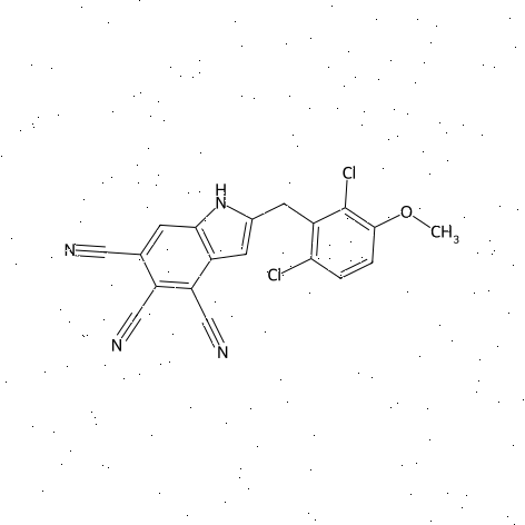 COc1ccc(Cl)c(Cc2cc3c(C#N)c(C#N)c(C#N)cc3[nH]2)c1Cl